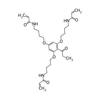 C=CC(=O)NCCCCOc1cc(OCCCCNC(=O)C=C)c(C(=O)CC)c(OCCCCNC(=O)C=C)c1